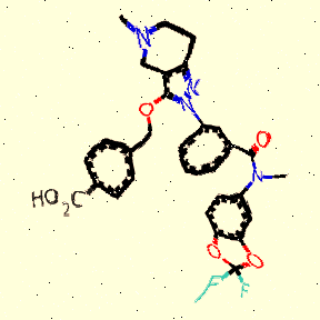 CN1CCc2nn(-c3cccc(C(=O)N(C)c4ccc5c(c4)OC(F)(F)O5)c3)c(OCc3ccc(C(=O)O)cc3)c2C1